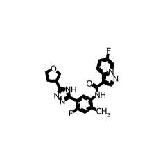 Cc1cc(F)c(-c2nnc(C3CCOC3)[nH]2)cc1NC(=O)c1cnn2cc(F)ccc12